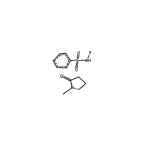 CN1CCCC1=O.O=S(=O)(NF)c1ccccc1